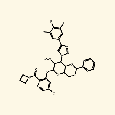 COC1C(Sc2cc(Cl)cnc2C(=O)N2CCC2)OC2COC(c3ccccc3)OC2C1n1cc(-c2cc(F)c(F)c(F)c2)nn1